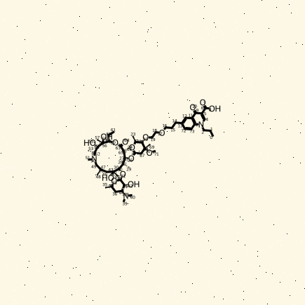 CCCn1cc(C(=O)O)c(=O)c2cc(CCCOCCO[C@H]3[C@H](C)OC(O[C@H]4[C@H](C)[C@@H](O[C@@H]5O[C@H](C)C[C@H](N(C)C)[C@H]5O)[C@](C)(O)C[C@@H](C)CN(C)[C@H](C)[C@H](O)[C@](C)(O)[C@@H](CC)OC(=O)[C@@H]4C)C[C@@]3(C)OC)ccc21